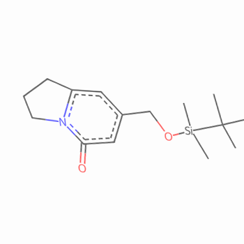 CC(C)(C)[Si](C)(C)OCc1cc2n(c(=O)c1)CCC2